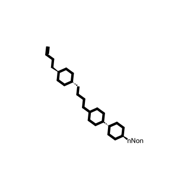 C=CCC[C@H]1CC[C@H](CCCCC2CCC([C@H]3CC[C@H](CCCCCCCCC)CC3)CC2)CC1